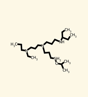 CCCN(CC)CCCN(CCCNC(CC)CC)CCC[SiH2]OC(C)C